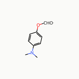 CN(C)c1ccc(O[C]=O)cc1